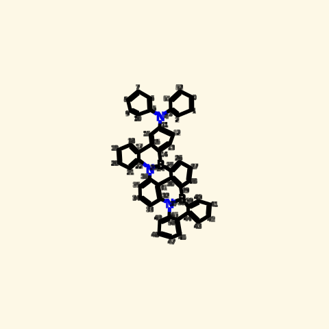 c1ccc(N(c2ccccc2)c2ccc3c(c2)-c2ccccc2N2B3c3cccc4c3-c3c(cccc32)N2B4c3ccccc3-c3ccccc32)cc1